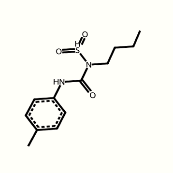 CCCCN(C(=O)Nc1ccc(C)cc1)[SH](=O)=O